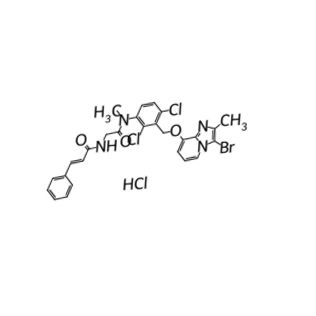 Cc1nc2c(OCc3c(Cl)ccc(N(C)C(=O)CNC(=O)C=Cc4ccccc4)c3Cl)cccn2c1Br.Cl